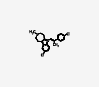 CC(=Cn1c2c(c3cc(Cl)ccc31)CCN(C)CC2)c1ccc(Cl)cc1